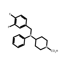 O=C(O)N1CCC(N(Cc2ccc(F)c(F)c2)c2ccccc2)CC1